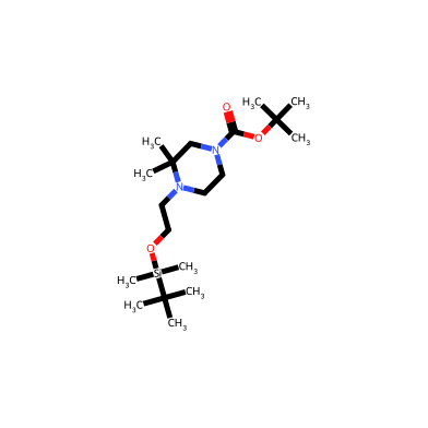 CC(C)(C)OC(=O)N1CCN(CCO[Si](C)(C)C(C)(C)C)C(C)(C)C1